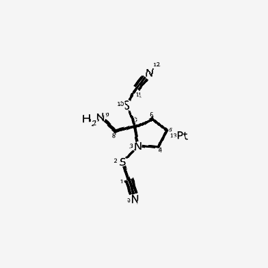 N#CSN1CCCC1(CN)SC#N.[Pt]